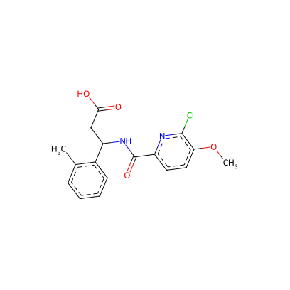 COc1ccc(C(=O)NC(CC(=O)O)c2ccccc2C)nc1Cl